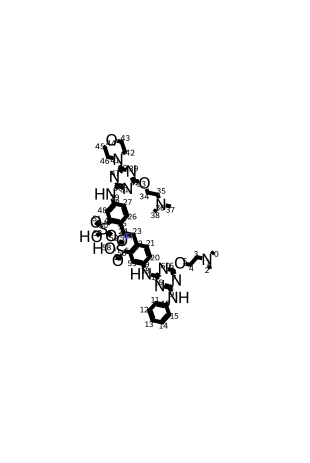 CN(C)CCOc1nc(Nc2ccccc2)nc(Nc2ccc(/C=C/c3ccc(Nc4nc(OCCN(C)C)nc(N5CCOCC5)n4)cc3S(=O)(=O)O)c(S(=O)(=O)O)c2)n1